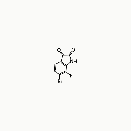 O=C1Nc2c(ccc(Br)c2F)C1=O